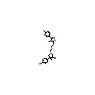 Cc1ccc(-c2nnc(SCCCN3C[C@@H]4C[C@]4(c4ccc(Br)cc4)C3)n2C)cn1